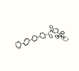 O=C(Cn1cc(S(=O)(=O)N2CCCC2)ccc1=O)c1ccc(-c2ccc(-c3ccc(-c4ccccc4)cc3)cc2)cc1